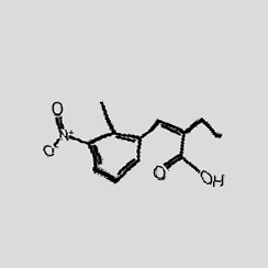 CCC(=Cc1cccc([N+](=O)[O-])c1C)C(=O)O